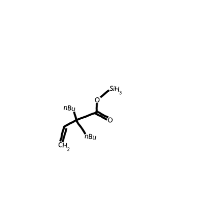 C=CC(CCCC)(CCCC)C(=O)O[SiH3]